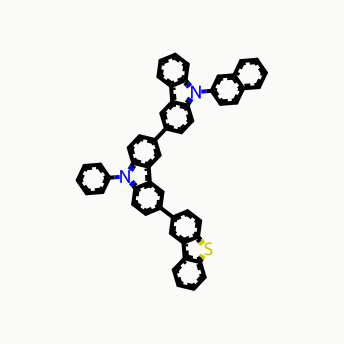 c1ccc(-n2c3ccc(-c4ccc5sc6ccccc6c5c4)cc3c3cc(-c4ccc5c(c4)c4ccccc4n5-c4ccc5ccccc5c4)ccc32)cc1